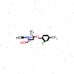 C#CN[C@H](CO)C[C@@H](C)OCc1ccc(C(F)(F)F)cc1F